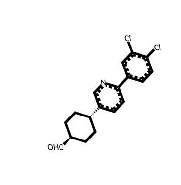 O=C[C@H]1CC[C@H](c2ccc(-c3ccc(Cl)c(Cl)c3)nc2)CC1